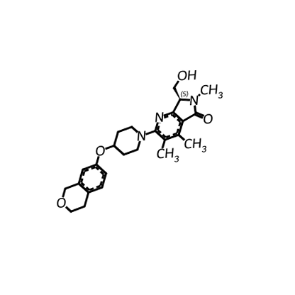 Cc1c(N2CCC(Oc3ccc4c(c3)COCC4)CC2)nc2c(c1C)C(=O)N(C)[C@@H]2CO